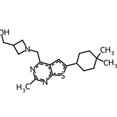 Cc1nc(CN2CC(CO)C2)c2cc(C3CCC(C)(C)CC3)sc2n1